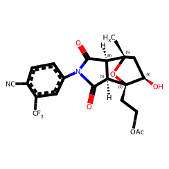 CC(=O)OCC[C@@]12O[C@@](C)(C[C@H]1O)[C@@H]1C(=O)N(c3ccc(C#N)c(C(F)(F)F)c3)C(=O)[C@@H]12